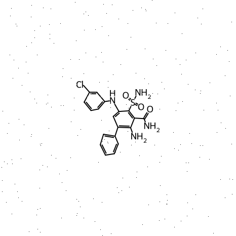 NC(=O)c1c(N)c(-c2ccccc2)cc(Nc2cccc(Cl)c2)c1S(N)(=O)=O